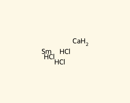 Cl.Cl.Cl.[CaH2].[Sm]